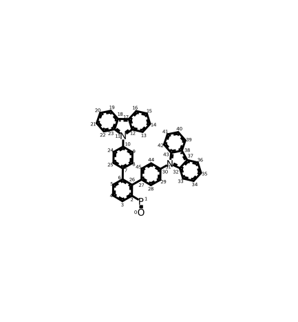 O=Pc1cccc(-c2ccc(-n3c4ccccc4c4ccccc43)cc2)c1-c1ccc(-n2c3ccccc3c3ccccc32)cc1